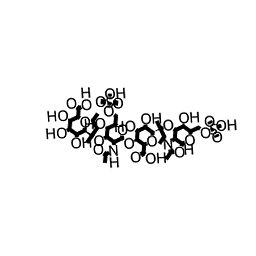 CCCC(C)(OC1C(NC(C)=O)[C@H](O[C@@H]2C(C(=O)O)O[C@@H](C(C)(CC)OC3C4N=C(C)O[C@H]4OC(COS(=O)(=O)O)[C@@H]3O)C(O)C2O)OC(COS(=O)(=O)O)[C@@H]1O)[C@@H]1OC(C(=O)O)[C@@H](O)C(O)C1O